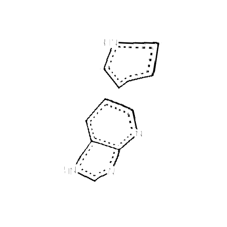 c1cc[nH]c1.c1cnc2nc[nH]c2c1